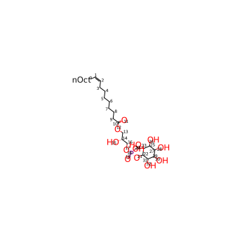 CCCCCCCC/C=C\CCCCCCCC(=O)OC[C@@H](O)COP(=O)(O)OC1C(O)C(O)C(O)[C@@H](O)C1O